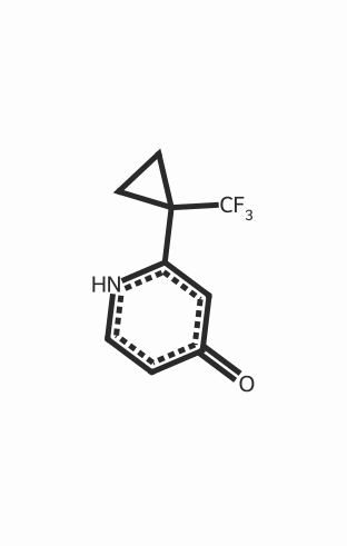 O=c1cc[nH]c(C2(C(F)(F)F)CC2)c1